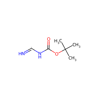 CC(C)(C)OC(=O)N[C]=N